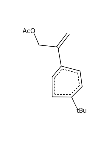 C=C(COC(C)=O)c1ccc(C(C)(C)C)cc1